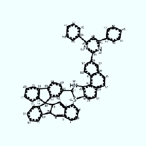 C1=c2ccccc2=CC2C1c1ccccc1C21c2ccccc2-c2ccc(C3Nc4c(ccc5ccc6cc(-c7nc(-c8ccccc8)cc(-c8ccccc8)n7)ccc6c45)S3)cc21